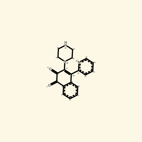 O=C1C(=O)c2ccccc2C(c2ccccn2)=C1N1CCNCC1